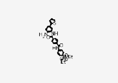 CCOP(=O)(OCC)c1ccc(NC(=O)c2ccc(C(=O)Nc3cc(-c4cccs4)ccc3N)cc2)cc1